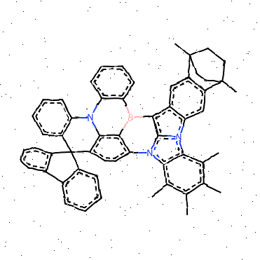 Cc1c(C)c(C)c2c(c1C)n1c3c(c4cc5c(cc4n23)C2(C)CCC5(C)CC2)B2c3ccccc3N3c4ccccc4C4(c5ccccc5-c5ccccc54)c4ccc-1c2c43